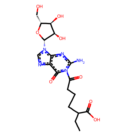 CCC(CCCC(=O)n1c(N)nc2c(ncn2[C@@H]2O[C@H](CO)[C@@H](O)[C@H]2O)c1=O)C(=O)O